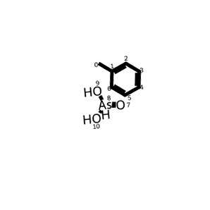 Cc1ccccc1.O=[AsH](O)O